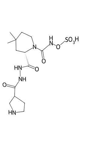 CC1(C)CCN(C(=O)NOS(=O)(=O)O)[C@H](C(=O)NNC(=O)C2CCNC2)C1